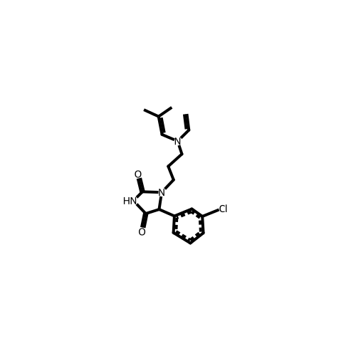 C=CN(C=C(C)C)CCCN1C(=O)NC(=O)C1c1cccc(Cl)c1